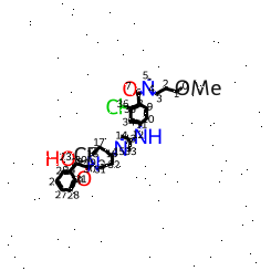 COCCCN(C)C(=O)c1ccc(NC2CN(C3CCN(C(=O)[C@](O)(c4ccccc4)C(F)(F)F)CC3)C2)cc1Cl